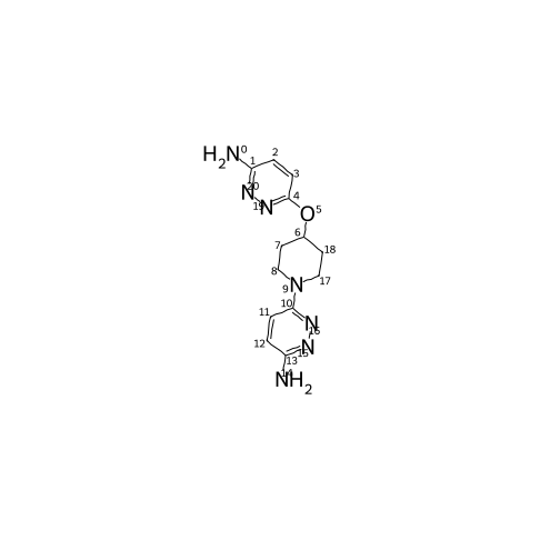 Nc1ccc(OC2CCN(c3ccc(N)nn3)CC2)nn1